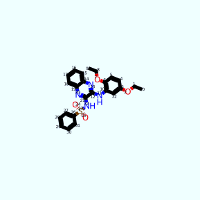 CCOc1ccc(OCC)c(Nc2nc3ccccc3nc2NS(=O)(=O)c2ccccc2)c1